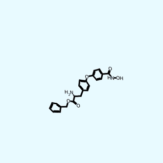 N[C@@H](Cc1ccc(Oc2ccc(C(=O)NO)cc2)cc1)C(=O)OCc1ccccc1